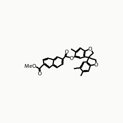 COC(=O)c1ccc2cc(C(=O)Oc3cc4c(cc3C)OCC43COc4cc(C)c(C)cc43)ccc2c1